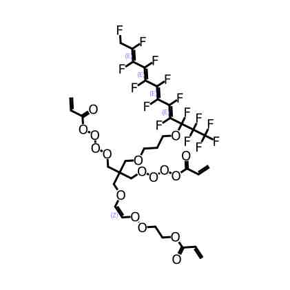 C=CC(=O)OCCOO/C=C\OCC(COCCCOC(F)(/C(F)=C(F)/C(F)=C(F)/C(F)=C(F)/C(F)=C(\F)CF)C(F)(F)C(F)(F)F)(COOOOC(=O)C=C)COOOOC(=O)C=C